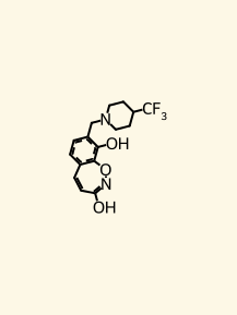 OC1=NOc2c(ccc(CN3CCC(C(F)(F)F)CC3)c2O)C=C1